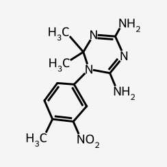 Cc1ccc(N2C(N)=NC(N)=NC2(C)C)cc1[N+](=O)[O-]